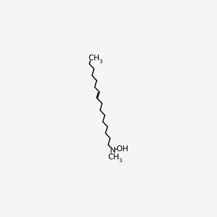 CCCCCC/C=C/CCCCCCCCN(C)O